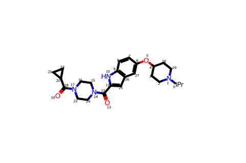 CC(C)N1CCC(Oc2ccc3[nH]c(C(=O)N4CCN(C(=O)C5CC5)CC4)cc3c2)CC1